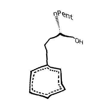 CCCCC[C@H](O)Cc1ccccc1